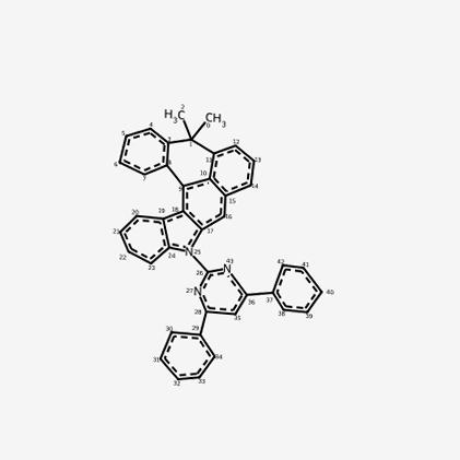 CC1(C)c2ccccc2-c2c3c1cccc3cc1c2c2ccccc2n1-c1nc(-c2ccccc2)cc(-c2ccccc2)n1